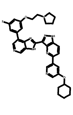 Fc1cc(OCCN2CCCC2)cc(-c2cncc3[nH]c(-c4n[nH]c5ccc(-c6cncc(OC7CCCCC7)c6)nc45)nc23)c1